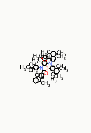 CC1c2cc3oc4c(c3cc2C2(C)CCCC1C2)N(c1ccc(C(C)(C)C)cc1)c1cc(C(C)(C)C)cc2c1B4c1cc3c(cc1N2c1ccc2c(c1-c1ccccc1)C(C)(C)CCC2(C)C)C(C)(C)CCC3(C)C